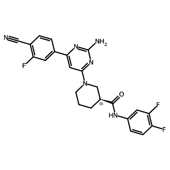 N#Cc1ccc(-c2cc(N3CCC[C@H](C(=O)Nc4ccc(F)c(F)c4)C3)nc(N)n2)cc1F